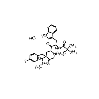 CN1N=C2CN[C@H](C(=O)[C@@H](Cc3c[nH]c4ccccc34)NC(=O)C(C)(C)N)C[C@@]2(Cc2ccc(F)cc2)C1=O.Cl